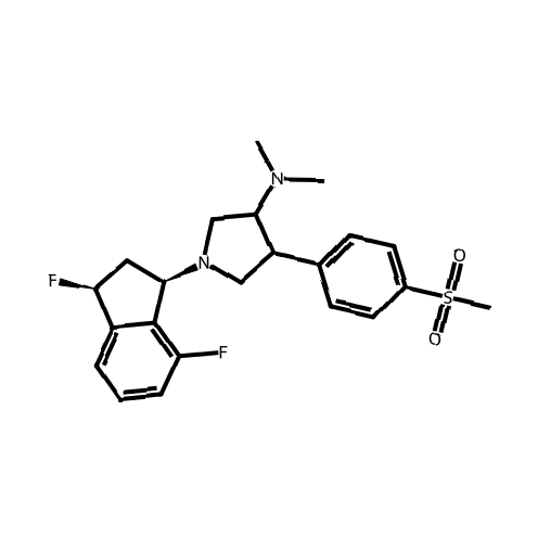 CN(C)C1CN([C@@H]2C[C@H](F)c3cccc(F)c32)CC1c1ccc(S(C)(=O)=O)cc1